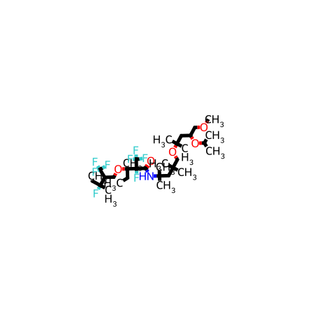 CCC(C)(F)C(COC(C)(CC)C(F)(C(=O)NC(C)(C)CC(C)(C)COC(C)(C)CC(COC)OC(C)C)C(F)(F)F)C(F)(F)F